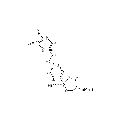 CCCCCC1CCC(C(=O)O)(c2ccc(CCc3ccc(F)c(F)c3)cc2)CC1